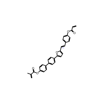 C=CC(=O)Oc1ccc(/C=C/c2ccc(-c3ccc(-c4ccc(OC(=O)C(=C)C)cc4)cc3)o2)cc1